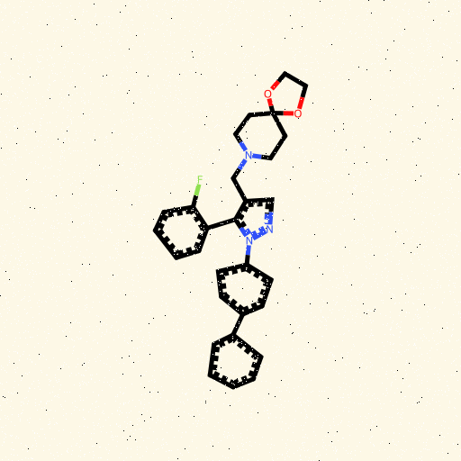 Fc1ccccc1-c1c(CN2CCC3(CC2)OCCO3)cnn1-c1ccc(-c2ccccc2)cc1